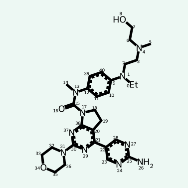 CCN(CCN(C)CCO)c1ccc(N(C)C(=O)N2CCc3c(-c4cnc(N)nc4)nc(N4CCOCC4)nc32)cc1